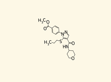 CCCSc1c(C(=O)NC2CCOCC2)cnn1-c1ccc(C(=O)OC)cc1